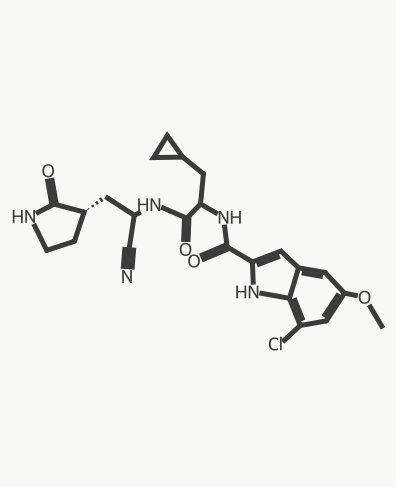 COc1cc(Cl)c2[nH]c(C(=O)NC(CC3CC3)C(=O)NC(C#N)C[C@@H]3CCNC3=O)cc2c1